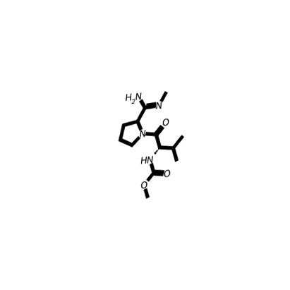 C/N=C(\N)C1CCCN1C(=O)[C@@H](NC(=O)OC)C(C)C